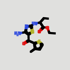 CCOC(=O)C(CC)Nc1nc(N)c(C(=O)c2sccc2C)s1